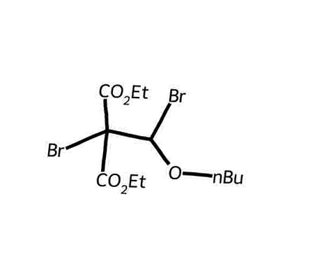 CCCCOC(Br)C(Br)(C(=O)OCC)C(=O)OCC